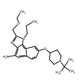 CCCn1c(COCC)nc2c(N)nc3ccc(OC4CCN(C(C)(C)C)CC4)cc3c21